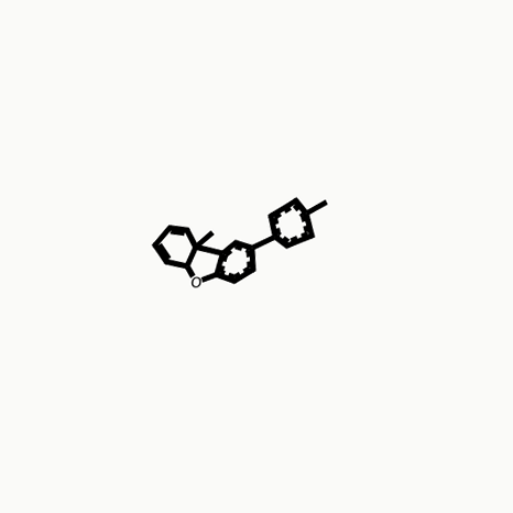 Cc1ccc(-c2ccc3c(c2)C2(C)C=CC=CC2O3)cc1